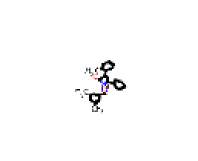 Cc1ccccc1C1=C[C@@](COCc2cc(C(F)(F)F)cc(C(F)(F)F)c2)(c2ccccc2)NC1=O